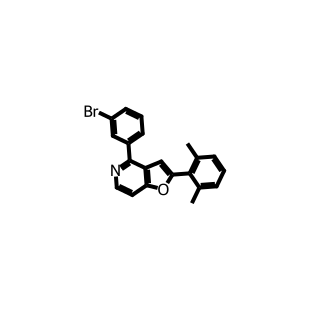 Cc1cccc(C)c1-c1cc2c(-c3cccc(Br)c3)nccc2o1